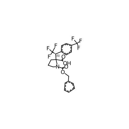 O=C(OCc1ccccc1)N1CCCC1(C(=O)O)[C@H](c1ccc(C(F)(F)F)cc1)C(F)(F)F